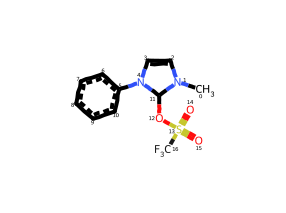 CN1C=CN(c2ccccc2)C1OS(=O)(=O)C(F)(F)F